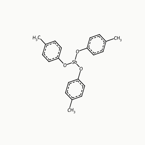 Cc1ccc([O][Sb]([O]c2ccc(C)cc2)[O]c2ccc(C)cc2)cc1